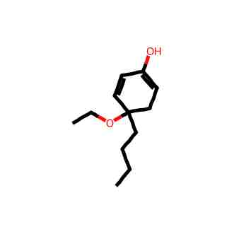 CCCCC1(OCC)C=CC(O)=CC1